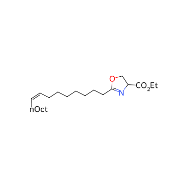 CCCCCCCC/C=C\CCCCCCCC1=NC(C(=O)OCC)CO1